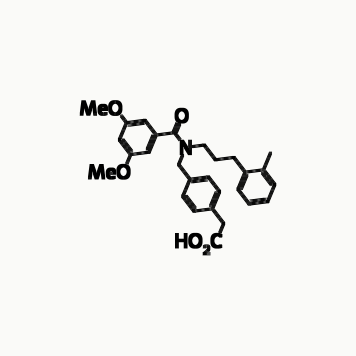 COc1cc(OC)cc(C(=O)N(CCCc2ccccc2C)Cc2ccc(CC(=O)O)cc2)c1